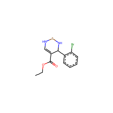 CCOC(=O)C1=CNSNC1c1ccccc1Br